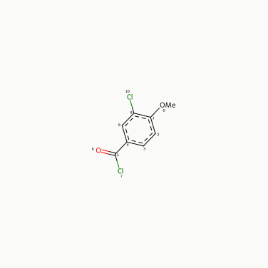 COc1ccc(C(=O)Cl)cc1Cl